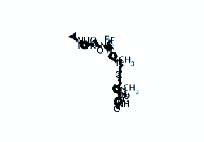 CN(CCCOCCCc1cccc2c1n(C)c(=O)n2[C@@H]1CCC(=O)NC1=O)CC1CCC(n2cc(NC(=O)c3coc(-c4ccnc(NCC5CC5)c4)n3)c(C(F)F)n2)CC1